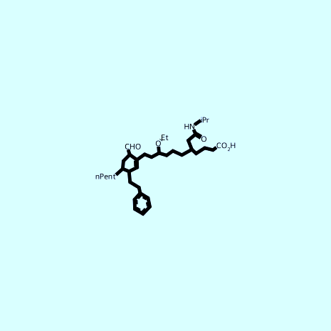 CCCCCC1CC(C=O)C(CCC(CCCC(CCCC(=O)O)CC(=O)NC(C)C)OCC)=CC1CCc1ccccc1